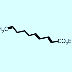 C=CCCC/C=C/C=C/C(=O)OCC